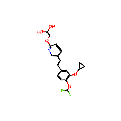 OC(O)COc1ccc(CCc2ccc(OC(F)F)c(OC3CC3)c2)cn1